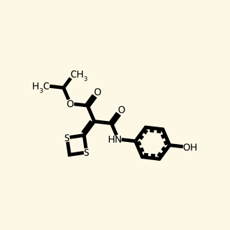 CC(C)OC(=O)C(C(=O)Nc1ccc(O)cc1)=C1SCS1